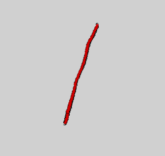 S=S=S=S=S=S=S=S=S=S=S=S=S=S=S=S=S=S=S=S=S=S=S=S=S=S=S=S=S=S=S=S=S=S=S=S=S=S=S=S=S=S=S=S=S=S=S=S=S=S=S=S=S=S=S=S=S=S=S=S=S=S=S=S=S=S=S=S=S=S=S=S=S=S=S=S=S=S=S=S=S=S=S=S=S=S=S=S=S=S=S=S=S=S=S=S=S=S=S=S=S=S=S=S=S=S=S=S=S=S=S=S=S